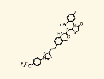 CCCc1ccc(C)cc1N1C(=O)CS/C1=N\C(=O)Nc1ccc(CCc2ncn(-c3ccc(OC(F)(F)F)cc3)n2)cc1F